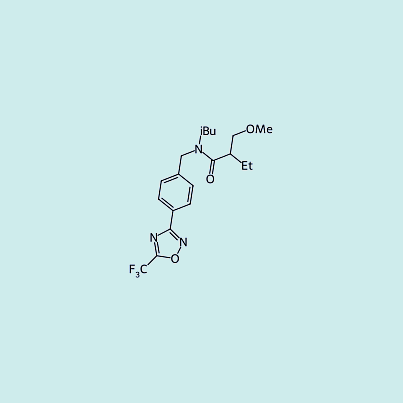 CCC(COC)C(=O)N(Cc1ccc(-c2noc(C(F)(F)F)n2)cc1)C(C)CC